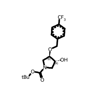 CC(C)(C)OC(=O)N1C[C@@H](O)[C@H](OCc2ccc(C(F)(F)F)cc2)C1